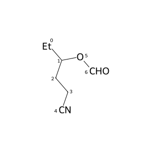 CCC(CCC#N)OC=O